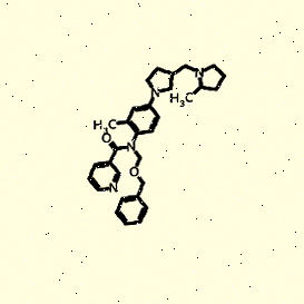 Cc1cc(N2CCC(CN3CCCC3C)C2)ccc1N(COCc1ccccc1)C(=O)c1cccnc1